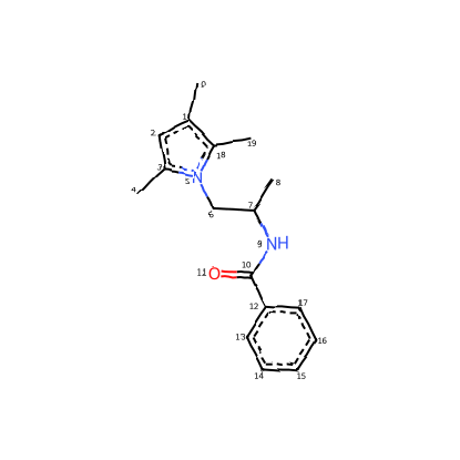 Cc1cc(C)n(CC(C)NC(=O)c2ccccc2)c1C